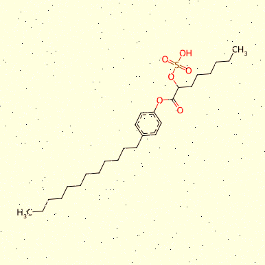 CCCCCCCCCCCCc1ccc(OC(=O)C(CCCCCC)OS(=O)(=O)O)cc1